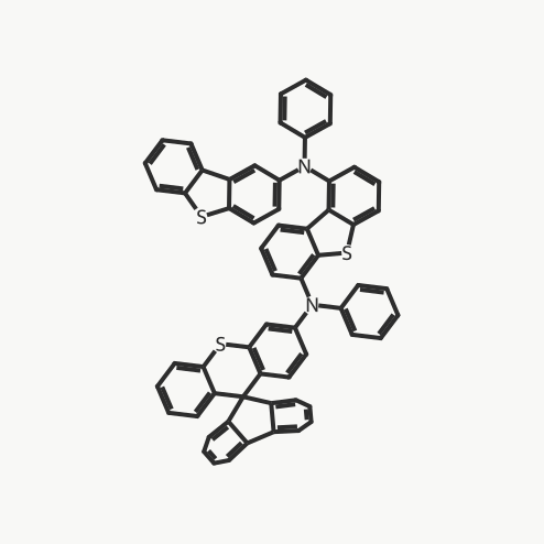 c1ccc(N(c2ccc3c(c2)Sc2ccccc2C32c3ccccc3-c3ccccc32)c2cccc3c2sc2cccc(N(c4ccccc4)c4ccc5sc6ccccc6c5c4)c23)cc1